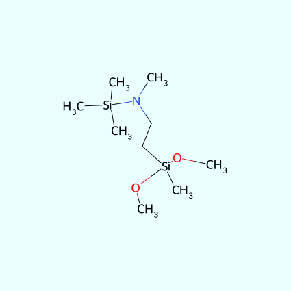 CO[Si](C)(CCN(C)[Si](C)(C)C)OC